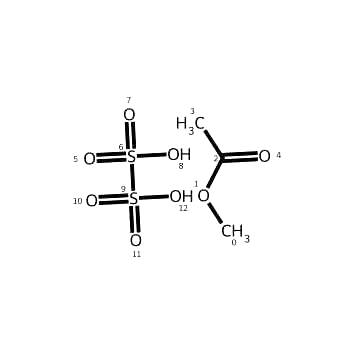 COC(C)=O.O=S(=O)(O)S(=O)(=O)O